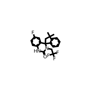 CC(C)(C)CC1(c2ccccc2)c2cc(F)ccc2NC(=O)N1CC(F)(F)F